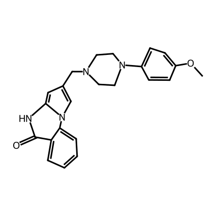 COc1ccc(N2CCN(Cc3cc4[nH]c(=O)c5ccccc5n4c3)CC2)cc1